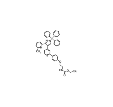 Cc1cccc(-c2nn(C(c3ccccc3)(c3ccccc3)c3ccccc3)cc2-c2ccnc(-c3ccc(OCCNC(=O)OCC(C)(C)C)cc3)c2)n1